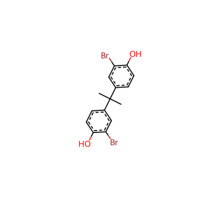 CC(C)(c1ccc(O)c(Br)c1)c1ccc(O)c(Br)c1